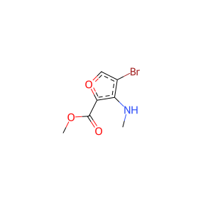 CNc1c(Br)coc1C(=O)OC